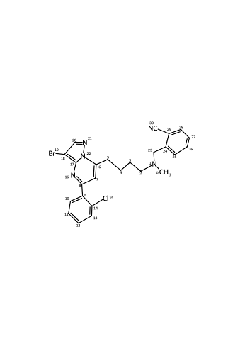 CN(CCCCc1cc(-c2ccccc2Cl)nc2c(Br)cnn12)Cc1ccccc1C#N